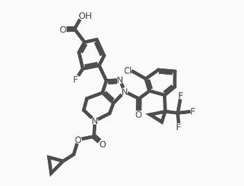 O=C(O)c1ccc(-c2nn(C(=O)c3c(Cl)cccc3C3(C(F)(F)F)CC3)c3c2CCN(C(=O)OCC2CC2)C3)c(F)c1